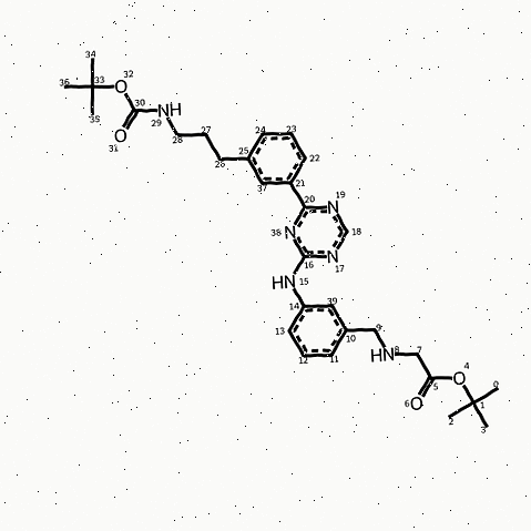 CC(C)(C)OC(=O)CNCc1cccc(Nc2ncnc(-c3cccc(CCCNC(=O)OC(C)(C)C)c3)n2)c1